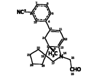 C[C@@]12CC(c3cccc(C#N)c3)=CC=C1N(CC=O)CC21CCCC1